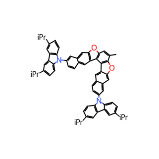 Cc1cc2oc3cc4cc(-n5c6ccc(C(C)C)cc6c6cc(C(C)C)ccc65)ccc4cc3c2c2c1oc1cc3cc(-n4c5ccc(C(C)C)cc5c5cc(C(C)C)ccc54)ccc3cc12